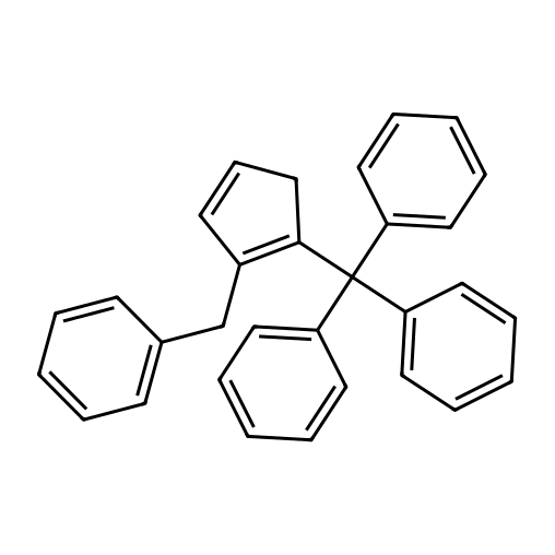 C1=CC(Cc2ccccc2)=C(C(c2ccccc2)(c2ccccc2)c2ccccc2)C1